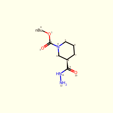 CCCCOC(=O)N1CCC[C@@H](C(=O)NN)C1